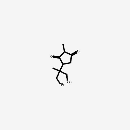 CCC(C)CC(C)(CC(C)C)C1CC(=O)C(C)C1=O